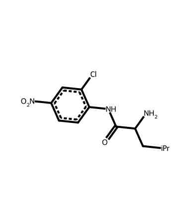 CC(C)CC(N)C(=O)Nc1ccc([N+](=O)[O-])cc1Cl